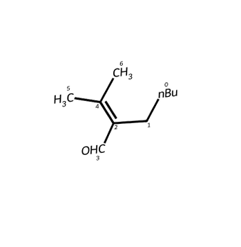 CCCCCC(C=O)=C(C)C